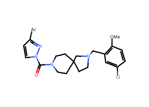 COc1ccc(Cl)cc1CN1CCC2(CCN(C(=O)n3ccc(C(C)=O)n3)CC2)C1